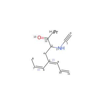 C#CNC(CC(/C=C\C)=C/C=C)C(=O)C(C)C